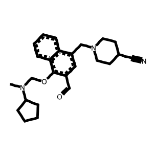 CN(COc1c(C=O)cc(CN2CCC(C#N)CC2)c2ccccc12)C1CCCC1